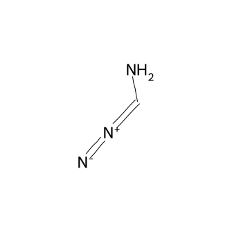 [N-]=[N+]=CN